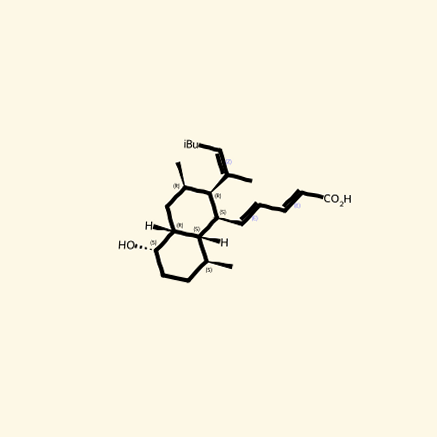 CCC(C)/C=C(/C)[C@H]1[C@@H](/C=C/C=C/C(=O)O)[C@H]2[C@@H](C[C@H]1C)[C@@H](O)CC[C@@H]2C